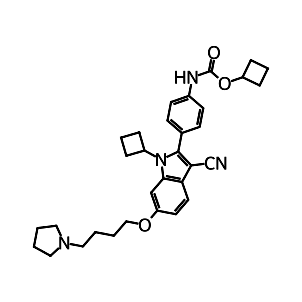 N#Cc1c(-c2ccc(NC(=O)OC3CCC3)cc2)n(C2CCC2)c2cc(OCCCCN3CCCC3)ccc12